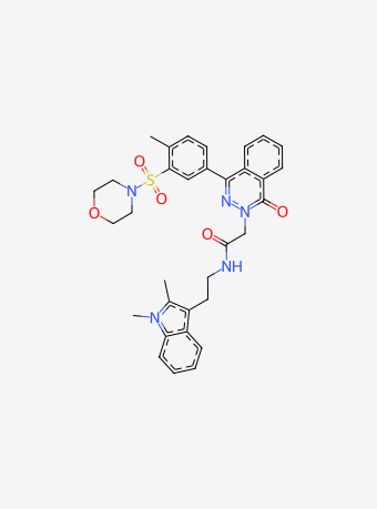 Cc1ccc(-c2nn(CC(=O)NCCc3c(C)n(C)c4ccccc34)c(=O)c3ccccc23)cc1S(=O)(=O)N1CCOCC1